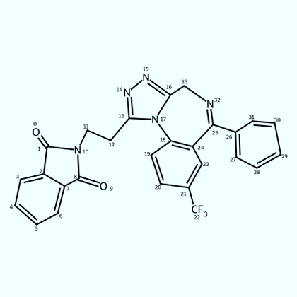 O=C1c2ccccc2C(=O)N1CCc1nnc2n1-c1ccc(C(F)(F)F)cc1C(c1ccccc1)=NC2